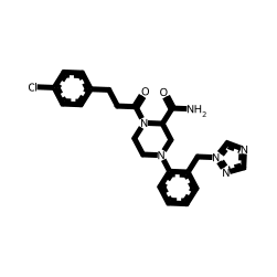 NC(=O)C1CN(c2ccccc2Cn2cncn2)CCN1C(=O)[CH]Cc1ccc(Cl)cc1